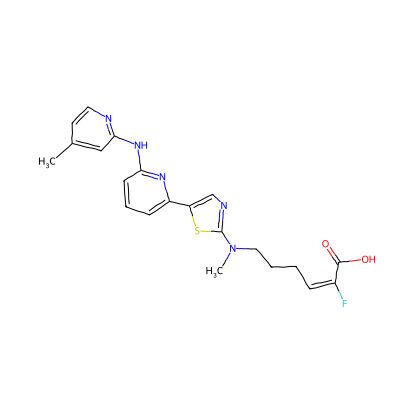 Cc1ccnc(Nc2cccc(-c3cnc(N(C)CCC/C=C(/F)C(=O)O)s3)n2)c1